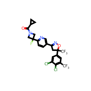 O=C(C1CC1)N1CC(F)(c2ccc(C3=NOC(c4cc(Cl)c(Cl)c(C(F)(F)F)c4)(C(F)(F)F)C3)cn2)C1